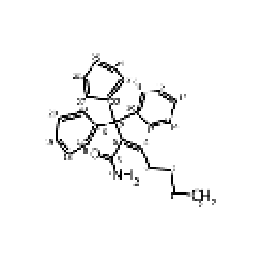 CCCCC=C(C(N)=O)C(c1ccccc1)(c1ccccc1)c1ccccc1